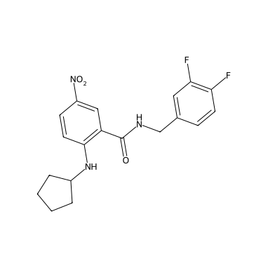 O=C(NCc1ccc(F)c(F)c1)c1cc([N+](=O)[O-])ccc1NC1CCCC1